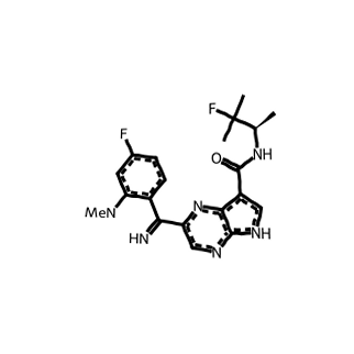 CNc1cc(F)ccc1C(=N)c1cnc2[nH]cc(C(=O)N[C@H](C)C(C)(C)F)c2n1